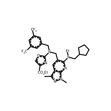 CCOC(=O)c1coc(N(Cc2cc(C(F)(F)F)cc(C(F)(F)F)c2)Cc2cc3c(C)nn(C)c3nc2N(CC)CC2CCCC2)n1